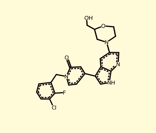 O=c1cc(-c2c[nH]c3ncc(N4CCOC(CO)C4)cc23)ccn1Cc1cccc(Cl)c1F